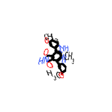 COc1ccc2[nH]c3c(c4c(c5c6cc(OC)ccc6n(C)c35)C(=O)NC4=O)c2c1